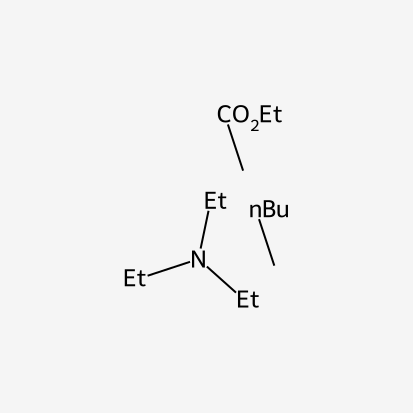 CCCCC.CCN(CC)CC.CCOC(C)=O